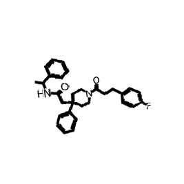 CC(NC(=O)CC1(c2ccccc2)CCN(C(=O)CCc2ccc(F)cc2)CC1)c1ccccc1